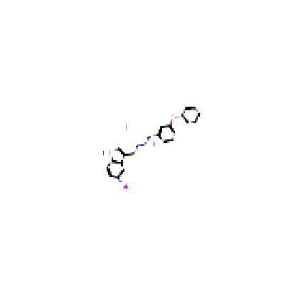 Cl.O=[N+]([O-])c1ccc2[nH]cc(CCNCc3cccc(Oc4ccccc4)c3)c2c1